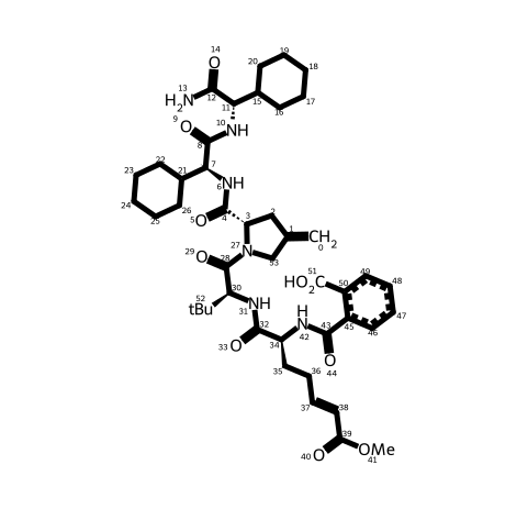 C=C1C[C@@H](C(=O)N[C@H](C(=O)N[C@H](C(N)=O)C2CCCCC2)C2CCCCC2)N(C(=O)[C@@H](NC(=O)[C@H](CC/C=C/C(=O)OC)NC(=O)c2ccccc2C(=O)O)C(C)(C)C)C1